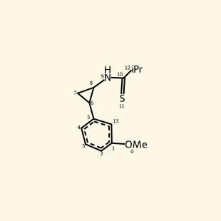 COc1cccc(C2CC2NC(=S)C(C)C)c1